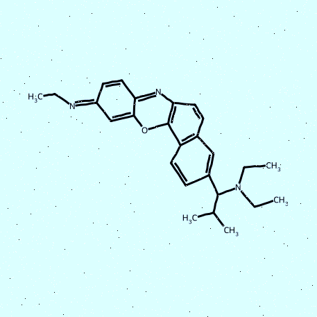 CCN=c1ccc2nc3ccc4cc(C(C(C)C)N(CC)CC)ccc4c3oc-2c1